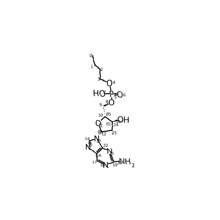 CCCCOP(=O)(O)OC[C@H]1O[C@@H](n2cnc3cnc(N)nc32)C[C@@H]1O